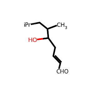 CC(C)CC(C)C(O)CC=CC=O